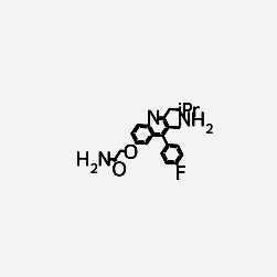 CC(C)Cc1nc2ccc(OCC(N)=O)cc2c(-c2ccc(F)cc2)c1CN